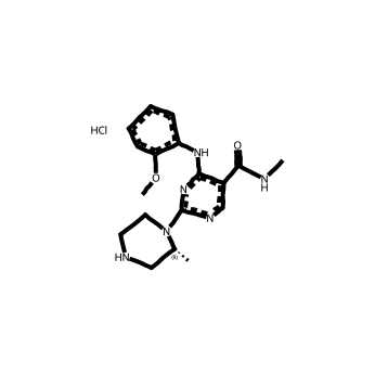 CNC(=O)c1cnc(N2CCNC[C@H]2C)nc1Nc1ccccc1OC.Cl